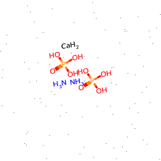 N.N.O=P(O)(O)O.O=P(O)(O)O.[CaH2]